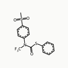 CS(=O)(=O)c1ccc(N(C(=O)Sc2ccccc2)C(F)(F)F)cc1